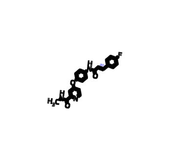 CNC(=O)c1cc(Oc2ccc(NC(=O)/C=C/c3ccc(F)cc3)cc2)ccn1